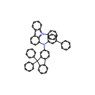 c1ccc(-c2cccc(N(c3ccc4c(c3)C(c3ccccc3)(c3ccccc3)c3ccccc3-4)c3cccc4c5ccccc5n(-c5ccccc5)c34)c2)cc1